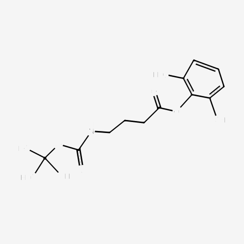 Cc1cccc(C)c1OC(=O)CCCNC(=O)OC(C)(C)C